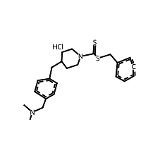 CN(C)Cc1ccc(CC2CCN(C(=S)SCc3ccccc3)CC2)cc1.Cl